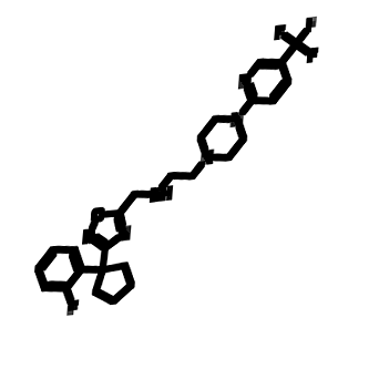 Fc1ccccc1C1(c2noc(CNCCN3CCN(c4ccc(C(F)(F)F)cn4)CC3)n2)CCCC1